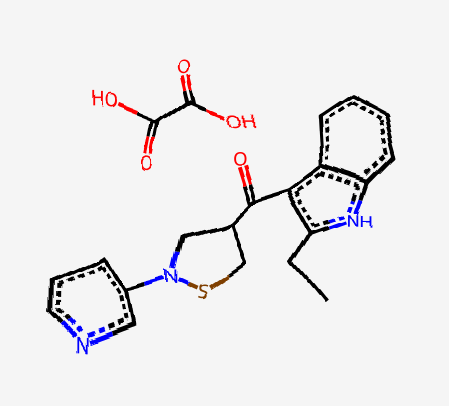 CCc1[nH]c2ccccc2c1C(=O)C1CSN(c2cccnc2)C1.O=C(O)C(=O)O